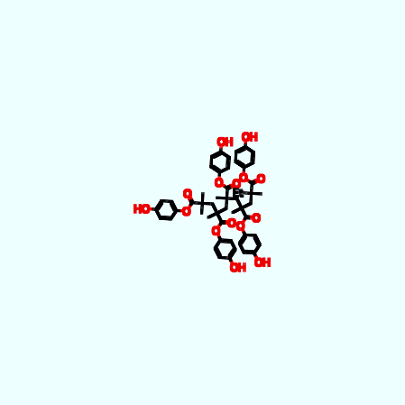 CCC(C)(CC(C)(CC(C)(CC(C)(CC(C)(C)C(=O)Oc1ccc(O)cc1)C(=O)Oc1ccc(O)cc1)C(=O)Oc1ccc(O)cc1)C(=O)Oc1ccc(O)cc1)C(=O)Oc1ccc(O)cc1